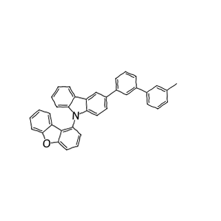 Cc1cccc(-c2cccc(-c3ccc4c(c3)c3ccccc3n4-c3cccc4oc5ccccc5c34)c2)c1